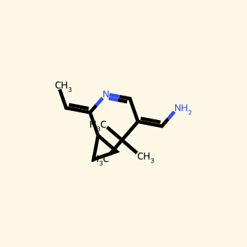 C\C=C(/N=C\C(=C/N)C(C)(C)C)C1CC1